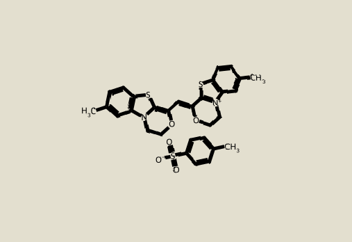 Cc1ccc(S(=O)(=O)[O-])cc1.Cc1ccc2c(c1)N1CCOC(C=C3OCC[n+]4c3sc3ccc(C)cc34)=C1S2